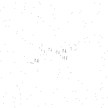 CC(=O)NC1CCCC(NC(=O)CN2CCN(c3nncc(-c4ccc(F)cc4)n3)CC2)C1